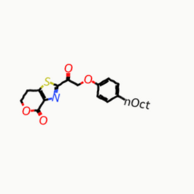 CCCCCCCCc1ccc(OCC(=O)c2nc3c(s2)CCOC3=O)cc1